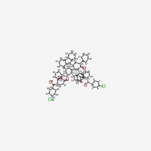 O=C(c1ccc(Cl)cc1)c1ccc(Oc2c(-c3ccccc3)cc(C3(c4cc(-c5ccccc5)c(Oc5ccc(C(=O)c6ccc(Cl)cc6)cc5)c(-c5ccccc5)c4)c4ccccc4-c4ccccc43)cc2-c2ccccc2)cc1